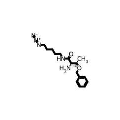 C[C@H](OCc1ccccc1)[C@H](N)C(=O)NCCCCCN=[N+]=[N-]